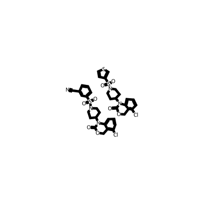 N#Cc1cccc(S(=O)(=O)N2CCC(N3C(=O)OCc4c(Cl)cccc43)CC2)c1.O=C1OCc2c(Cl)cccc2N1C1CCN(S(=O)(=O)c2ccsc2)CC1